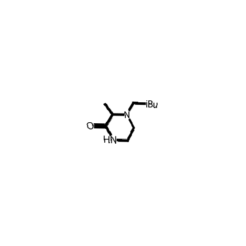 CCC(C)CN1CCNC(=O)C1C